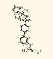 CC(C)(NS(=O)(=O)c1ccc(-c2cccc(CN(C(=O)O)C(C)(C)C)c2)cc1)c1cnn[nH]1